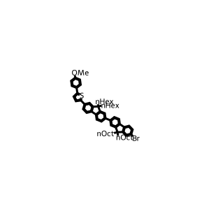 CCCCCCCCC1(CCCCCCCC)c2cc(Br)ccc2-c2ccc(-c3ccc4c(c3)C(CCCCCC)(CCCCCC)c3cc(-c5ccc(-c6ccc(OC)cc6)s5)ccc3-4)cc21